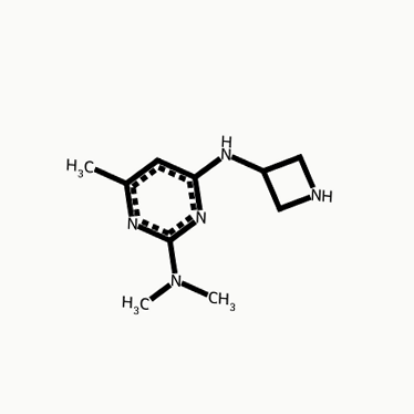 Cc1cc(NC2CNC2)nc(N(C)C)n1